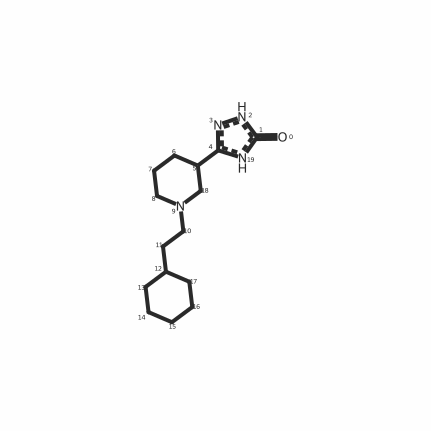 O=c1[nH]nc(C2CCCN(CCC3CCCCC3)C2)[nH]1